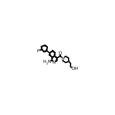 Nc1ncc(C(=O)N2CCC(CCO)CC2)c2ccc(-c3cccc(F)c3)cc12